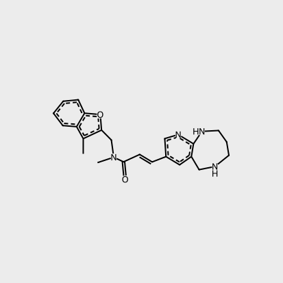 Cc1c(CN(C)C(=O)C=Cc2cnc3c(c2)CNCCCN3)oc2ccccc12